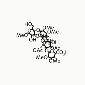 COC1C(OC)[C@H](O[C@H]2O[C@@H](COC(C)=O)[C@@H](O[C@@H]3OC(C(=O)O)[C@@H](C)[C@H](OC)C3OC)C(OC(C)=O)C2O)[C@H](C(=O)O)O[C@@H]1O[C@@H]1C(CO)O[C@H](OC)C(O)[C@H]1OC